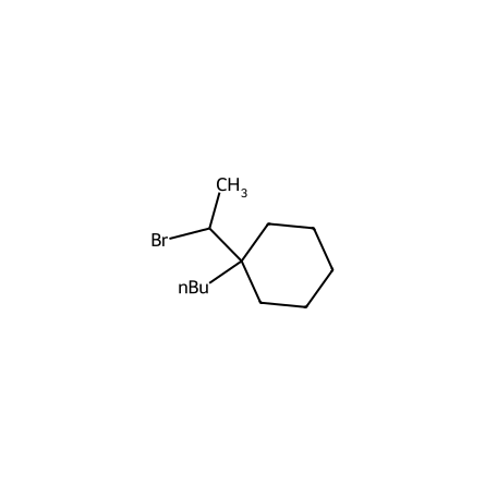 CCCCC1(C(C)Br)CCCCC1